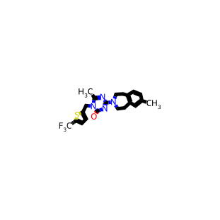 Cc1ccc2c(c1)CCN(c1nc(C)n(Cc3ccc(C(F)(F)F)s3)c(=O)n1)CC2